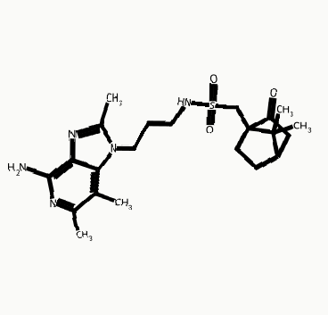 Cc1nc(N)c2nc(C)n(CCCNS(=O)(=O)CC34CCC(CC3=O)C4(C)C)c2c1C